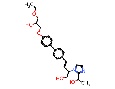 CCOCC(O)COc1ccc(-c2ccc(/C=C/C(CO)n3ccnc3C(C)O)cc2)cc1